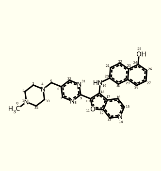 CN1CCN(Cc2cnc(-c3oc4cnccc4c3Nc3ccc4c(O)cccc4c3)nc2)CC1